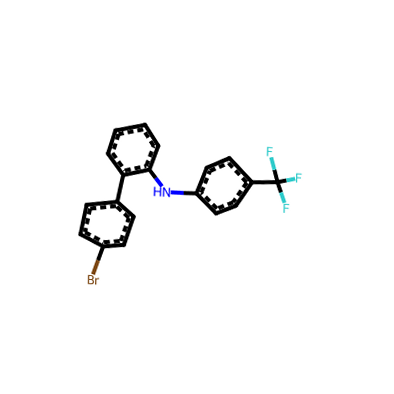 FC(F)(F)c1ccc(Nc2ccccc2-c2ccc(Br)cc2)cc1